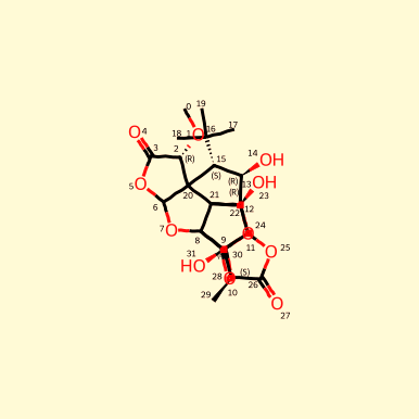 CO[C@H]1C(=O)OC2OC34C(=O)OC5[C@H](O)[C@@H](C(C)(C)C)C21C53[C@@H](O)C1OC(=O)[C@@H](C)[C@@]14O